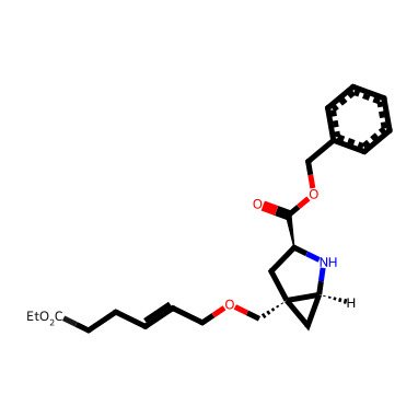 CCOC(=O)CC/C=C/COC[C@]12C[C@@H](C(=O)OCc3ccccc3)N[C@H]1C2